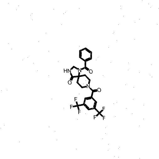 O=C(c1cc(C(F)(F)F)cc(C(F)(F)F)c1)N1CCC2(CC1)C(=O)NCN2C(=O)c1ccccc1